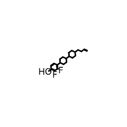 C=CCCC1CCC(C2CCC(c3ccc(O)c(F)c3F)CC2)CC1